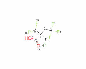 O=C(O)C(CCl)(CC(F)(F)F)C(F)F